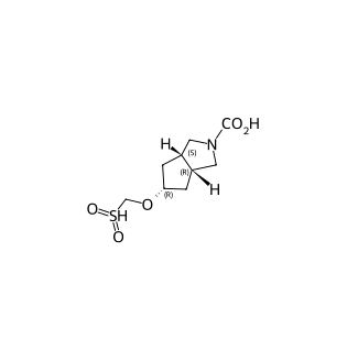 O=C(O)N1C[C@H]2C[C@@H](OC[SH](=O)=O)C[C@H]2C1